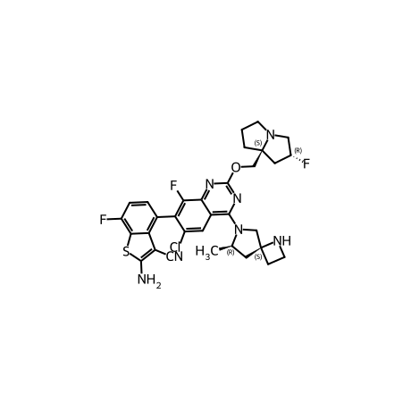 C[C@@H]1C[C@@]2(CCN2)CN1c1nc(OC[C@@]23CCCN2C[C@H](F)C3)nc2c(F)c(-c3ccc(F)c4sc(N)c(C#N)c34)c(Cl)cc12